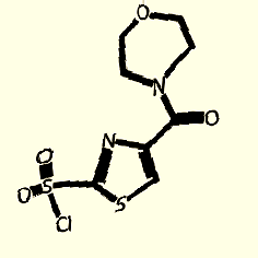 O=C(c1csc(S(=O)(=O)Cl)n1)N1CCOCC1